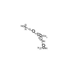 Cc1c[nH]c2ccc(CNC(=O)Cn3c(C)cnc(NCCc4cccc(COCCNC(=O)O)c4)c3=O)cc12